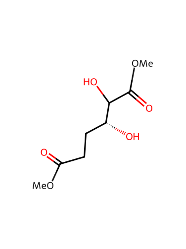 COC(=O)CC[C@@H](O)C(O)C(=O)OC